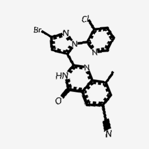 Cc1cc(C#N)cc2c(=O)[nH]c(-c3cc(Br)nn3-c3ncccc3Cl)nc12